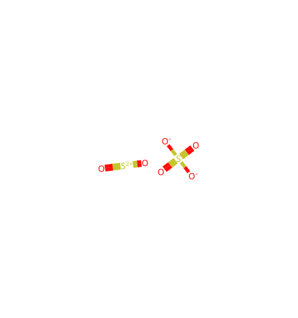 O=S(=O)([O-])[O-].O=[S+2]=O